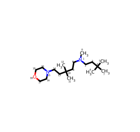 CN(CCC(C)(C)C)CCC(C)(C)CCN1CCOCC1